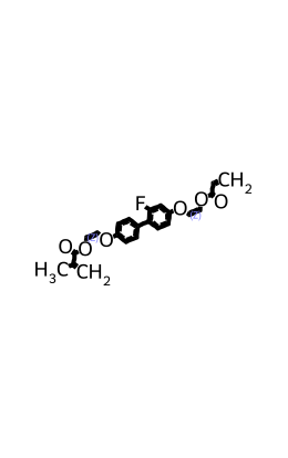 C=CC(=O)O/C=C\Oc1ccc(-c2ccc(O/C=C\OC(=O)C(=C)C)cc2)c(F)c1